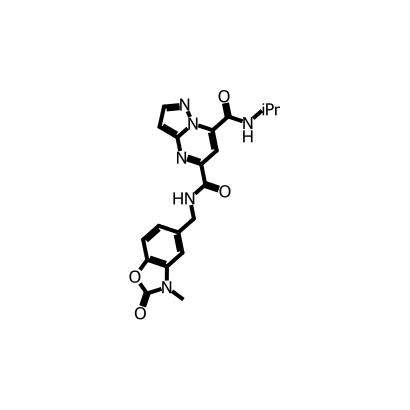 CC(C)NC(=O)c1cc(C(=O)NCc2ccc3oc(=O)n(C)c3c2)nc2ccnn12